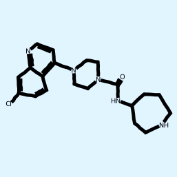 O=C(NC1CCCNCC1)N1CCN(c2ccnc3cc(Cl)ccc23)CC1